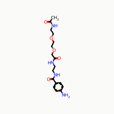 CC(=O)NCCOCCOCC(=O)NCCNC(=O)c1ccc(N)cc1